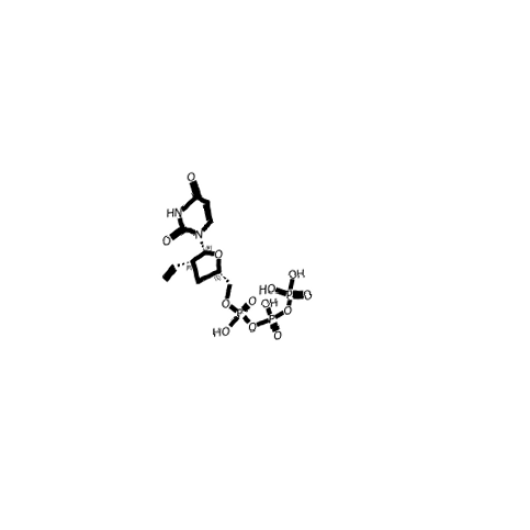 C=C[C@H]1C[C@@H](COP(=O)(O)OP(=O)(O)OP(=O)(O)O)O[C@H]1n1ccc(=O)[nH]c1=O